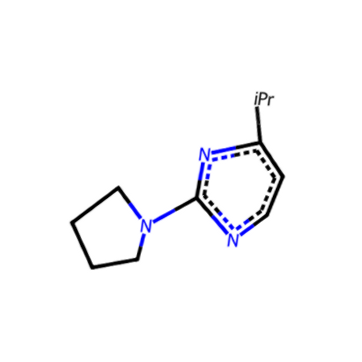 CC(C)c1ccnc(N2CCCC2)n1